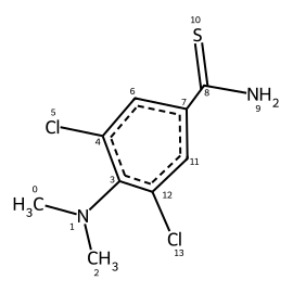 CN(C)c1c(Cl)cc(C(N)=S)cc1Cl